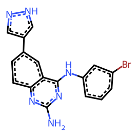 Nc1nc(Nc2cccc(Br)c2)c2cc(-c3cn[nH]c3)ccc2n1